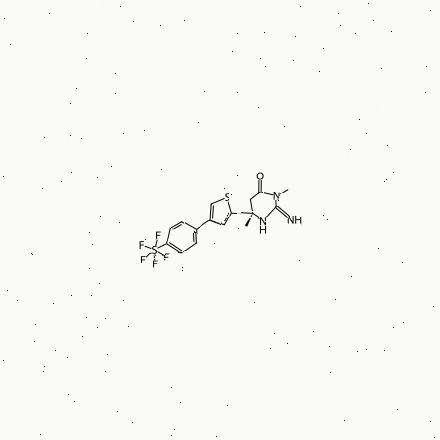 CN1C(=N)N[C@](C)(c2cc(-c3ccc(S(F)(F)(F)(F)F)cc3)cs2)CC1=O